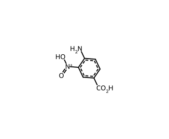 Nc1ccc(C(=O)O)cc1[N+](=O)O